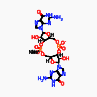 Nc1nc2c(ncn2[C@@H]2O[C@@H]3COP(=O)([O-])O[C@H]4[C@@H](O)[C@H](n5cnc6c(=O)[nH]c(N)nc65)O[C@@H]4COP(=O)([O-])O[C@H]3[C@H]2O)c(=O)[nH]1.[Na+].[Na+]